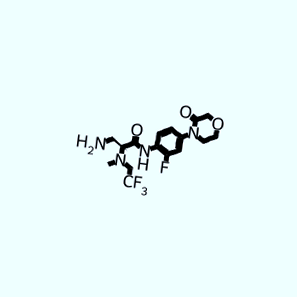 CN(CC(F)(F)F)[C@@H](CN)C(=O)Nc1ccc(N2CCOCC2=O)cc1F